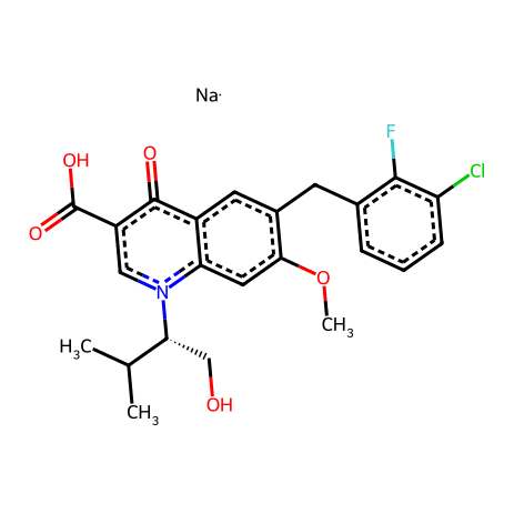 COc1cc2c(cc1Cc1cccc(Cl)c1F)c(=O)c(C(=O)O)cn2[C@H](CO)C(C)C.[Na]